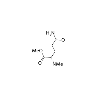 CN[C@@H](CCC(N)=O)C(=O)OC